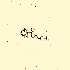 CCCOC(=O)c1ncccn1